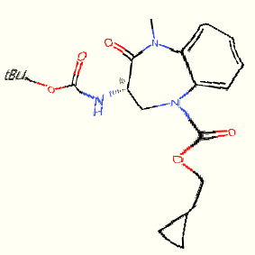 CN1C(=O)[C@@H](NC(=O)OC(C)(C)C)CN(C(=O)OCC2CC2)c2ccccc21